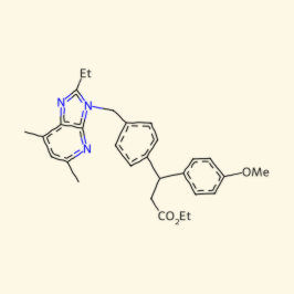 CCOC(=O)CC(c1ccc(Cn2c(CC)nc3c(C)cc(C)nc32)cc1)c1ccc(OC)cc1